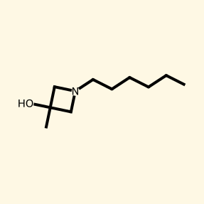 CCCCCCN1CC(C)(O)C1